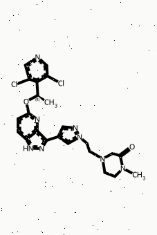 C[C@@H](Oc1ccc2[nH]nc(-c3cnn(CCN4CCN(C)C(=O)C4)c3)c2n1)c1c(Cl)cncc1Cl